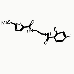 CSc1ccc(C(=O)NCCNC(=O)c2ccc(F)cc2F)o1